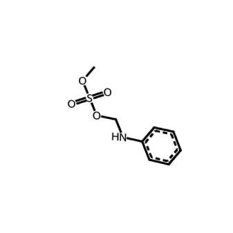 COS(=O)(=O)OCNc1ccccc1